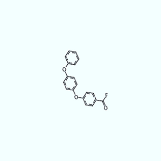 O=C(F)c1ccc(Oc2ccc(Oc3ccccc3)cc2)cc1